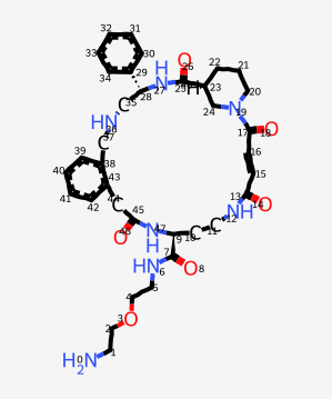 NCCOCCNC(=O)[C@@H]1CCNC(=O)/C=C/C(=O)N2CCC[C@H](C2)C(=O)N[C@@H](c2ccccc2)CNCc2ccccc2CC(=O)N1